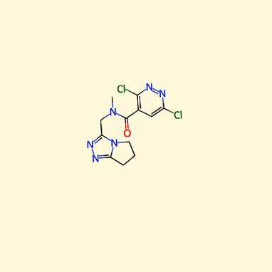 CN(Cc1nnc2n1CCC2)C(=O)c1cc(Cl)nnc1Cl